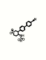 N#Cc1ccc(-c2ccc(C3CS(=O)(=O)CCC3N[SH](=O)=O)cc2)cc1